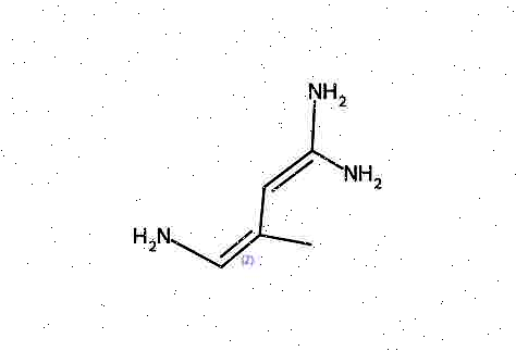 C/C(C=C(N)N)=C/N